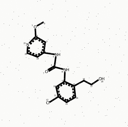 COc1cc(NC(=O)Nc2cc(Cl)ccc2CCO)ccn1